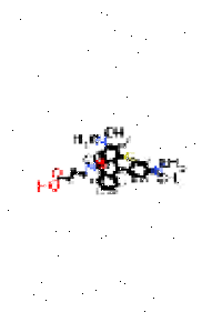 CN(CCCC(=O)O)C(=O)c1ccccc1-c1c2ccc(=[N+](C)C)cc-2sc2cc(N(C)C)ccc12